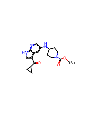 CC(C)(C)OC(=O)N1CCC(Nc2cnc3[nH]cc(C(=O)C4CC4)c3c2)CC1